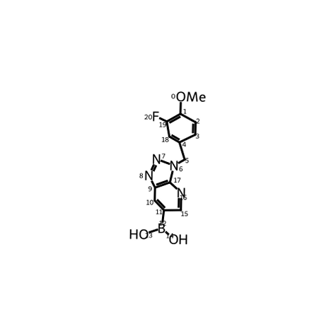 COc1ccc(Cn2nnc3cc(B(O)O)cnc32)cc1F